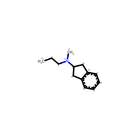 CCCN(C)C1Cc2ccccc2C1